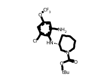 CC(C)(C)OC(=O)N1CCCC[C@@H](Nc2c(N)cc(OC(F)(F)F)cc2Cl)C1